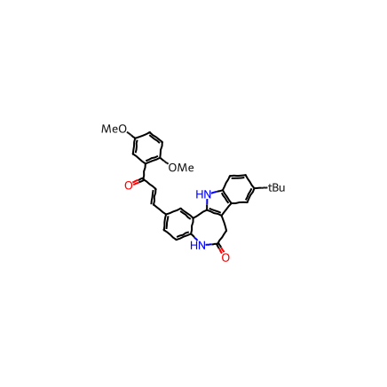 COc1ccc(OC)c(C(=O)C=Cc2ccc3c(c2)-c2[nH]c4ccc(C(C)(C)C)cc4c2CC(=O)N3)c1